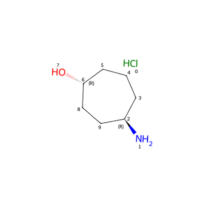 Cl.N[C@@H]1CCC[C@@H](O)CC1